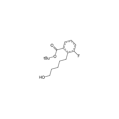 CC(C)(C)OC(=O)c1cccc(F)c1CCCCCO